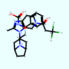 Cc1nc2c(n1C1CC3CCC(C1)N3CC[C@H](NC(=O)O)c1ccccc1)CN(C(=O)CC(F)(F)F)CC2